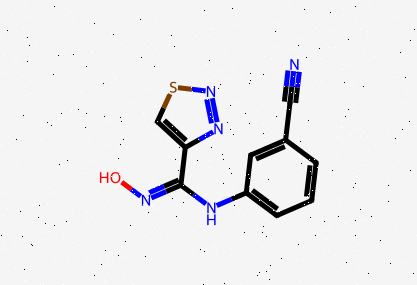 N#Cc1cccc(N/C(=N/O)c2csnn2)c1